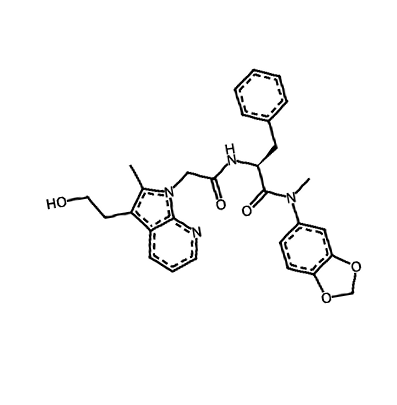 Cc1c(CCO)c2cccnc2n1CC(=O)N[C@@H](Cc1ccccc1)C(=O)N(C)c1ccc2c(c1)OCO2